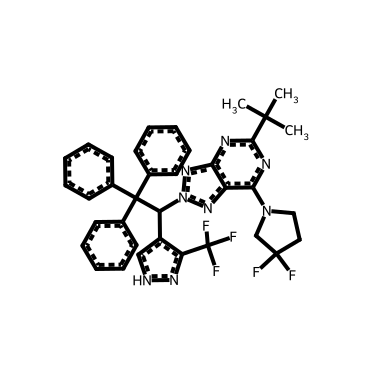 CC(C)(C)c1nc(N2CCC(F)(F)C2)c2nn(C(c3c[nH]nc3C(F)(F)F)C(c3ccccc3)(c3ccccc3)c3ccccc3)nc2n1